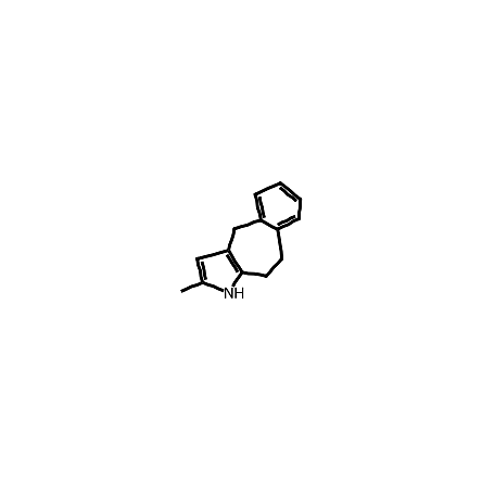 Cc1cc2c([nH]1)CCc1ccccc1C2